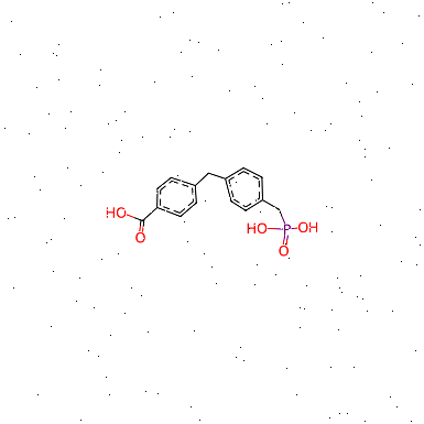 O=C(O)c1ccc(Cc2ccc(CP(=O)(O)O)cc2)cc1